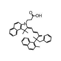 C=C(/C=C/C=C1/N(CCC(=O)O)c2ccc3ccccc3c2C1(C)C)C(C)(Cc1ccccc1)c1c(C)ccc2ccccc12